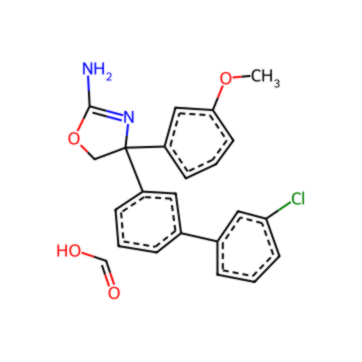 COc1cccc(C2(c3cccc(-c4cccc(Cl)c4)c3)COC(N)=N2)c1.O=CO